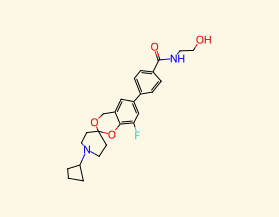 O=C(NCCO)c1ccc(-c2cc(F)c3c(c2)COC2(CCN(C4CCC4)CC2)O3)cc1